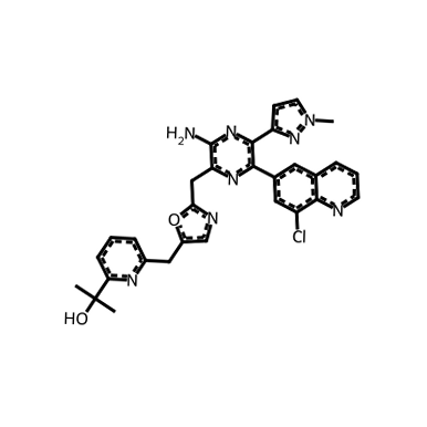 Cn1ccc(-c2nc(N)c(Cc3ncc(Cc4cccc(C(C)(C)O)n4)o3)nc2-c2cc(Cl)c3ncccc3c2)n1